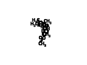 CCCC(=O)OC1CC[C@@]2(C)C(CC[C@H]3[C@@H]4CC[C@H]([C@H](C)CC[C@H](C)C(C)C)[C@@]4(C)CC[C@@H]32)C1